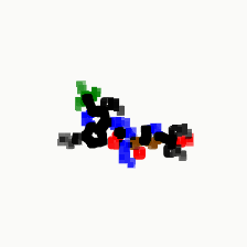 Cc1c(C(F)(F)F)nc2c(c1NC(=O)N=[S@](N)(=O)c1cnc(C(C)(C)O)s1)CC[C@@H]2C